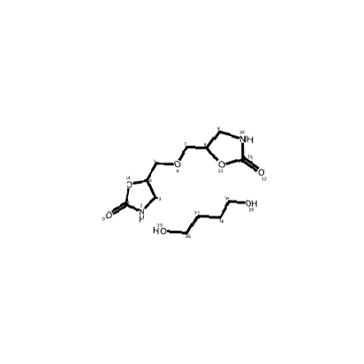 O=C1NCC(COCC2CNC(=O)O2)O1.OCCCCO